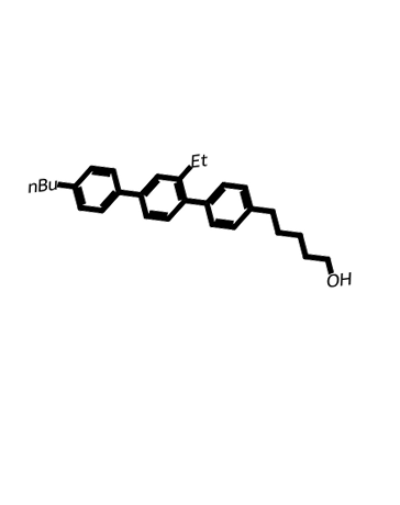 CCCCc1ccc(-c2ccc(-c3ccc(CCCCCO)cc3)c(CC)c2)cc1